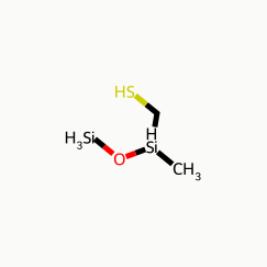 C[SiH](CS)O[SiH3]